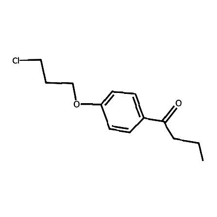 CCCC(=O)c1ccc(OCCCCl)cc1